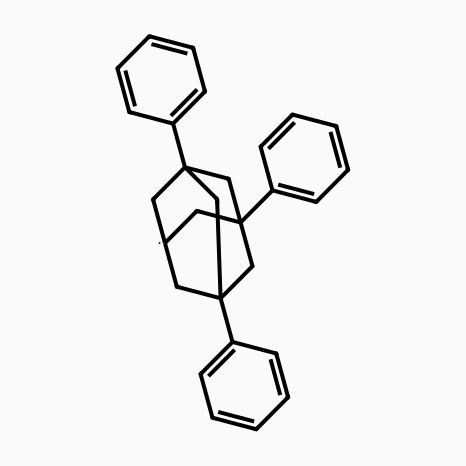 c1ccc(C23C[C]4CC(c5ccccc5)(C2)CC(c2ccccc2)(C4)C3)cc1